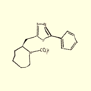 O=C(O)N1CCCC[C@H]1Cc1nnc(-c2ccccc2)o1